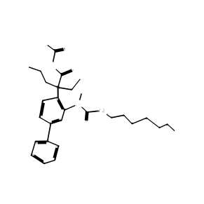 CCCCCCCNC(=O)N(C)c1cc(-c2ccccc2)ccc1C(CC)(CCC)C(=O)OC(=O)O